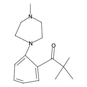 CN1CCN(c2ccccc2C(=O)C(C)(C)C)CC1